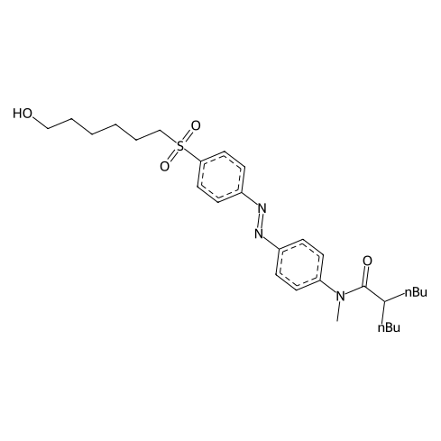 CCCCC(CCCC)C(=O)N(C)c1ccc(N=Nc2ccc(S(=O)(=O)CCCCCCO)cc2)cc1